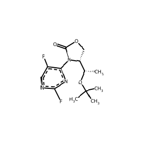 C[C@H](OC(C)(C)C)[C@H]1COC(=O)N1c1nc(F)ncc1F